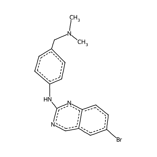 CN(C)Cc1ccc(Nc2ncc3cc(Br)ccc3n2)cc1